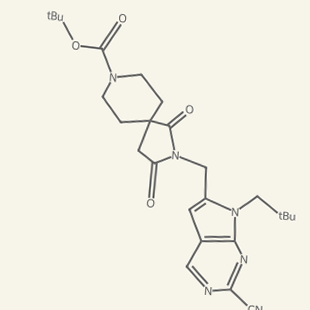 CC(C)(C)Cn1c(CN2C(=O)CC3(CCN(C(=O)OC(C)(C)C)CC3)C2=O)cc2cnc(C#N)nc21